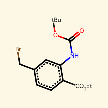 CCOC(=O)c1ccc(CBr)cc1NC(=O)OC(C)(C)C